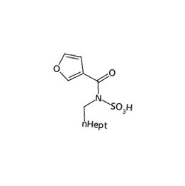 CCCCCCCCN(C(=O)c1ccoc1)S(=O)(=O)O